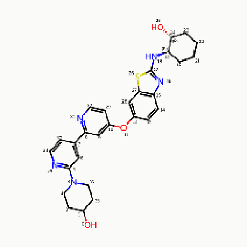 OC1CCN(c2cc(-c3cc(Oc4ccc5nc(N[C@@H]6CCCC[C@H]6O)sc5c4)ccn3)ccn2)CC1